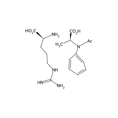 CC(=O)N(c1ccccc1)[C@@H](C)C(=O)O.N=C(N)NCCC[C@H](N)C(=O)O